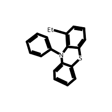 CCc1cccc2c1N(c1ccccc1)c1ccccc1S2